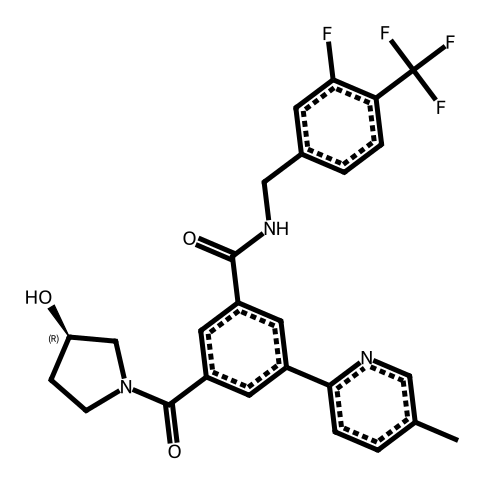 Cc1ccc(-c2cc(C(=O)NCc3ccc(C(F)(F)F)c(F)c3)cc(C(=O)N3CC[C@@H](O)C3)c2)nc1